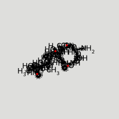 CC[C@H](C)[C@@H]1NC(=O)[C@@H]2CCCN2C(=O)[C@H](CCCCN)NC(=O)[C@H](CO)NC(=O)CNC(=O)[C@H](Cc2ccccc2)NC(=O)CNC(=O)C[C@@H](C(=O)N[C@@H](CO)C(=O)N[C@@H](Cc2ccccc2)C(=O)NCC(=O)N[C@@H](CC(C)C)C(=O)N[C@@H](CO)C(=O)N[C@@H](Cc2c[nH]c3ccccc23)C(=O)N[C@@H](CC(C)C)C(=O)O)NC1=O